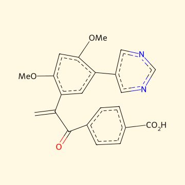 C=C(C(=O)c1ccc(C(=O)O)cc1)c1cc(-c2cncnc2)c(OC)cc1OC